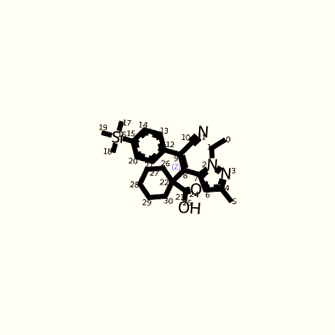 CCn1nc(C)cc1/C(=C(\C#N)c1ccc([Si](C)(C)C)cc1)C1(C(=O)O)CCCCC1